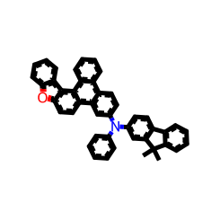 CC1(C)c2ccccc2-c2ccc(N(c3ccccc3)c3ccc4c5ccccc5c5c(ccc6oc7ccccc7c65)c4c3)cc21